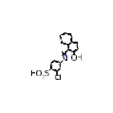 O=S(=O)(O)c1ccc(/N=N/c2c(O)ccc3ccccc23)cc1Cl